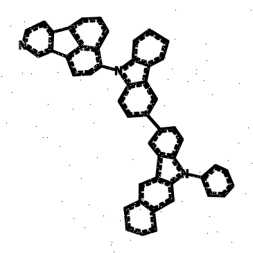 c1ccc(-n2c3ccc(-c4ccc5c(c4)c4ccccc4n5-c4ccc5c6c(cccc46)-c4ccncc4-5)cc3c3cc4ccccc4cc32)cc1